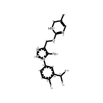 [3H]c1c(COC2=NC=C(C)CN2)nnn1-c1ccc(F)c(C(F)F)c1